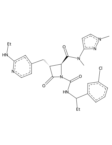 CCNc1cc(C[C@H]2C(=O)N(C(=O)NC(CC)c3cccc(Cl)c3)[C@@H]2C(=O)N(C)c2ccn(C)n2)ccn1